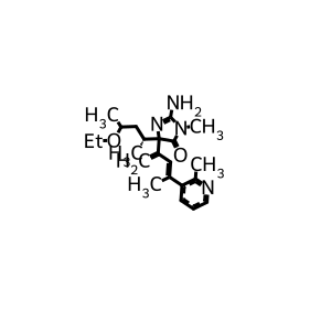 C=C(/C=C(\C)c1cccnc1C)C1([C@H](C)CC(C)OCC)N=C(N)N(C)C1=O